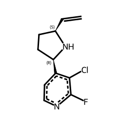 C=C[C@@H]1CC[C@H](c2ccnc(F)c2Cl)N1